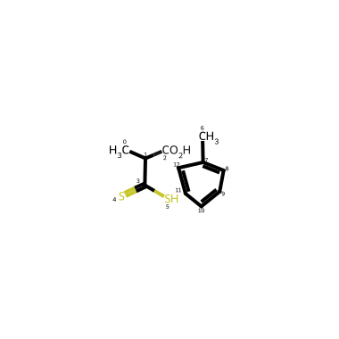 CC(C(=O)O)C(=S)S.Cc1ccccc1